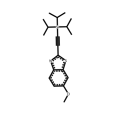 COc1ccc2nc(C#C[Si](C(C)C)(C(C)C)C(C)C)sc2c1